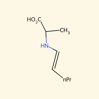 CCCC=CNC(C)C(=O)O